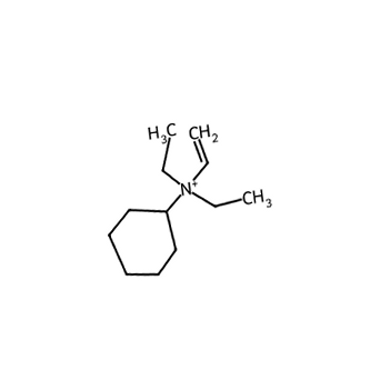 C=C[N+](CC)(CC)C1CCCCC1